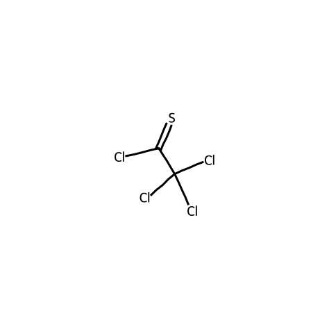 S=C(Cl)C(Cl)(Cl)Cl